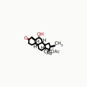 C/C=C1\C[C@H]2[C@@H]3C[C@H](O)C4=CC(=O)CC[C@@H]4[C@H]3CC[C@]2(C)[C@@]1(OC(C)=O)C(C)=O